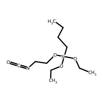 CCCC[Si](OCC)(OCC)OCCN=C=O